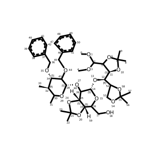 COC(OC)C1OC(C)(C)O[C@H]1[C@H](O[C@@H]1OC(CO)[C@@H]2OC(C)(C)O[C@@H]2C1O[C@@H]1OC(C)[C@@H](C)[C@H](OCc2ccccc2)C1OCc1ccccc1)C1COC(C)(C)O1